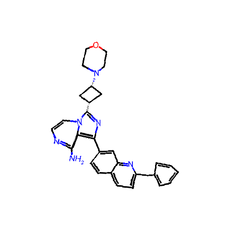 Nc1nccn2c1c(-c1ccc3ccc(-c4ccccc4)nc3c1)nc2[C@H]1C[C@@H](N2CCOCC2)C1